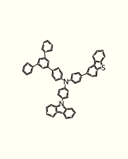 c1ccc(-c2cc(-c3ccccc3)cc(-c3ccc(N(c4ccc(-c5ccc6sc7ccccc7c6c5)cc4)c4ccc(-n5c6ccccc6c6ccccc65)cc4)cc3)c2)cc1